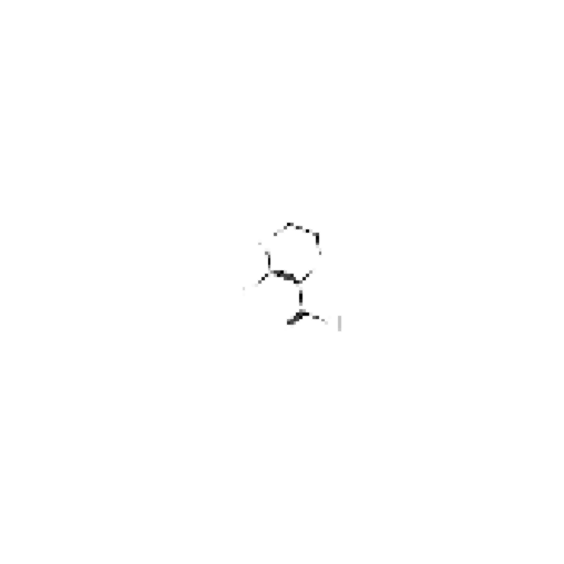 O=C(Cl)C1=C(C(F)(F)F)OCCS1